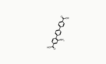 Nc1cc(C(=O)O)ccc1-c1ccc(-c2ccc(C(=O)O)cc2)cc1